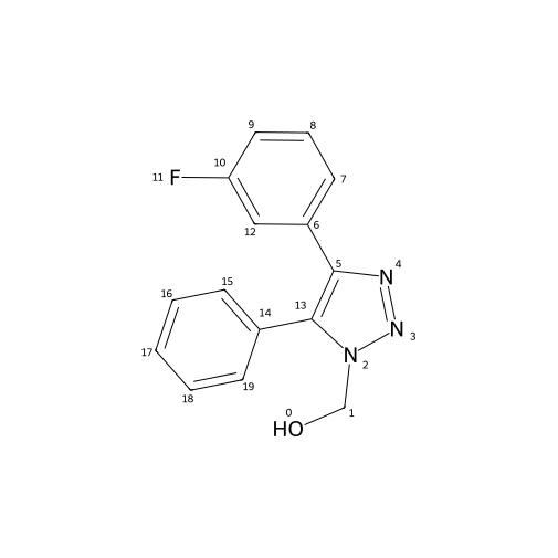 OCn1nnc(-c2cccc(F)c2)c1-c1ccccc1